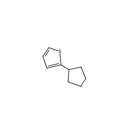 [CH]1CCC(c2cccs2)C1